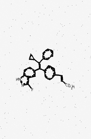 O=C(O)/C=C/c1ccc(/C(=C(\c2ccccc2)C2CC2)c2ccc3[nH]nc(F)c3c2)cc1